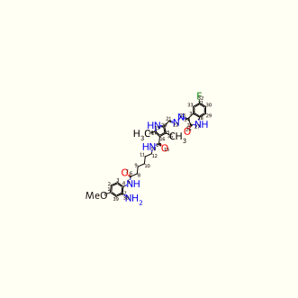 COc1ccc(NC(=O)CCCCCNC(=O)c2c(C)[nH]c(C=NN=C3C(=O)Nc4ccc(F)cc43)c2C)c(N)c1